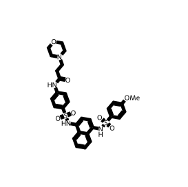 COc1ccc(S(=O)(=O)Nc2ccc(NS(=O)(=O)c3ccc(NC(=O)CCN4CCOCC4)cc3)c3ccccc23)cc1